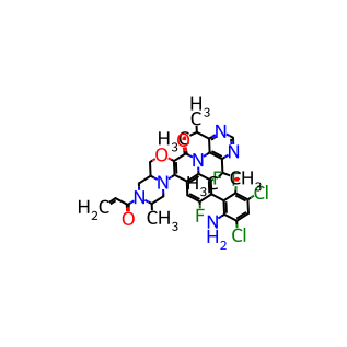 C=CC(=O)N1CC2COc3c(c4cc(F)c(-c5c(N)c(Cl)cc(Cl)c5F)c(F)c4n(-c4c(C(C)C)ncnc4C(C)C)c3=O)N2CC1C